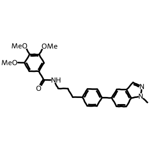 COc1cc(C(=O)NCCCc2ccc(-c3ccc4c(cnn4C)c3)cc2)cc(OC)c1OC